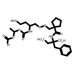 CSCCC(CSSCC1(C(=O)NC(CC(=O)O)(Cc2ccccc2)C(=O)O)CCCC1)NC(=O)OC(C)OC(=O)C(C)C